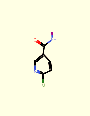 O=C(NI)c1ccc(Cl)nc1